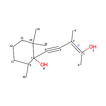 C/C(O)=C(/C)C#CC1(O)C(C)CCCC1(C)C